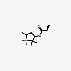 C=CC(=O)OC1CC(C)C(C)(C)C1(C)C